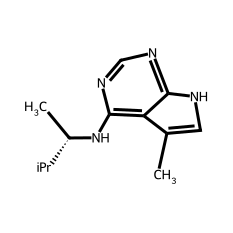 Cc1c[nH]c2ncnc(N[C@@H](C)C(C)C)c12